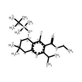 CCOC(=O)c1c(C(C)C)nc2c(c1I)[C@@H](O[Si](C)(C)C(C)(C)C)CC(C)(C)C2